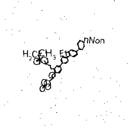 C=C(C)C(=O)OCCCc1cc(-c2ccc(-c3ccc(C4CCC(CCCCCCCCC)CC4)cc3)c(CC)c2)ccc1OCC1COC(=O)OC1